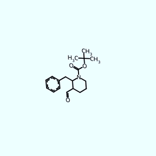 CC(C)(C)OC(=O)N1CCCC(C=O)C1Cc1ccccc1